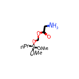 CCC[Si](OC)(OC)OCOC(=O)CN